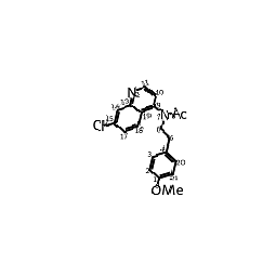 COc1ccc(CCN(C(C)=O)c2ccnc3cc(Cl)ccc23)cc1